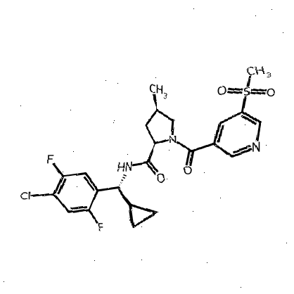 C[C@@H]1C[C@H](C(=O)N[C@@H](c2cc(F)c(Cl)cc2F)C2CC2)N(C(=O)c2cncc(S(C)(=O)=O)c2)C1